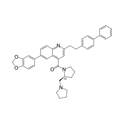 O=C(c1cc(CCc2ccc(-c3ccccc3)cc2)nc2ccc(-c3ccc4c(c3)OCO4)cc12)N1CCC[C@H]1CN1CCCC1